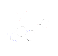 CC(C)[C@H]1c2nc[nH]c2CCN1C(=O)OC1CCOC1.O=P(O)(O)O